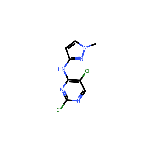 Cn1ccc(Nc2nc(Cl)ncc2Cl)n1